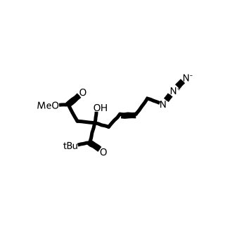 COC(=O)CC(O)(C/C=C/CN=[N+]=[N-])C(=O)C(C)(C)C